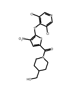 O=C(c1cc([N+](=O)[O-])c(Sc2c(Cl)cncc2Cl)s1)N1CCC(CO)CC1